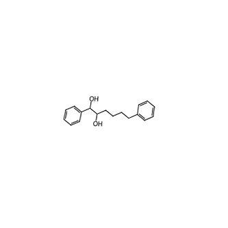 OC(CCCCc1ccccc1)C(O)c1ccccc1